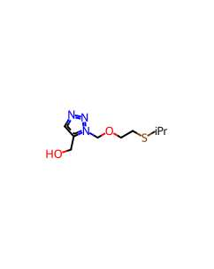 CC(C)SCCOCn1nncc1CO